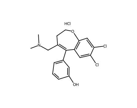 CN(C)CC1=C(c2cccc(O)c2)c2cc(Cl)c(Cl)cc2OCC1.Cl